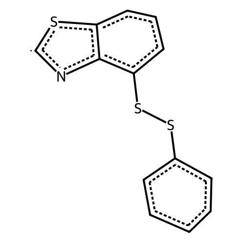 [c]1nc2c(SSc3ccccc3)cccc2s1